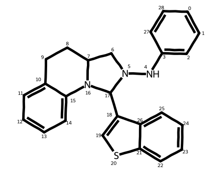 c1ccc(NN2CC3CCc4ccccc4N3C2c2csc3ccccc23)cc1